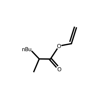 C=COC(=O)C(C)CCCC